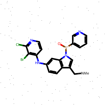 CNCc1cn([S+]([O-])c2cccnc2)c2cc(Nc3ccnc(Cl)c3Br)ccc12